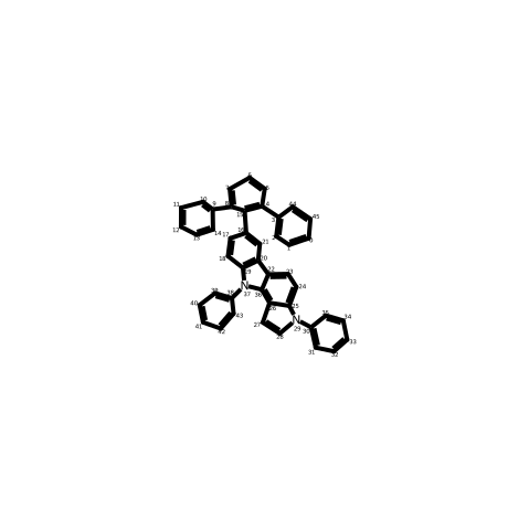 c1ccc(-c2cccc(-c3ccccc3)c2-c2ccc3c(c2)c2ccc4c(ccn4-c4ccccc4)c2n3-c2ccccc2)cc1